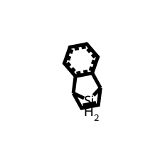 C1=CC2[SiH2]C1c1ccccc12